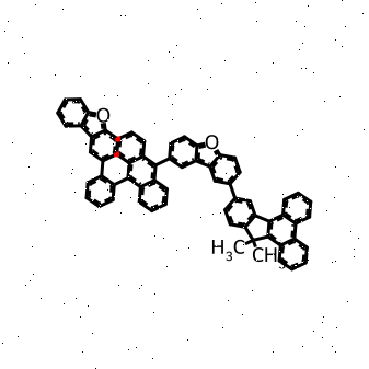 CC1(C)c2ccc(-c3ccc4oc5ccc(-c6c7ccccc7c(-c7ccccc7-c7ccc8oc9ccccc9c8c7)c7ccccc67)cc5c4c3)cc2-c2c1c1ccccc1c1ccccc21